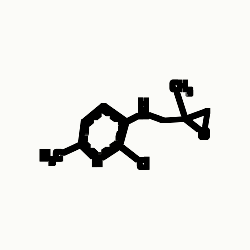 Cc1ccc(NCC2(C)CO2)c(Cl)n1